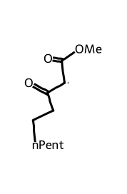 CCCCCCCC(=O)[CH]C(=O)OC